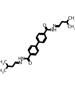 CC(C)C/C=N/NC(=O)c1ccc(-c2ccc(C(=O)N/N=C/CC(C)C)cc2)cc1